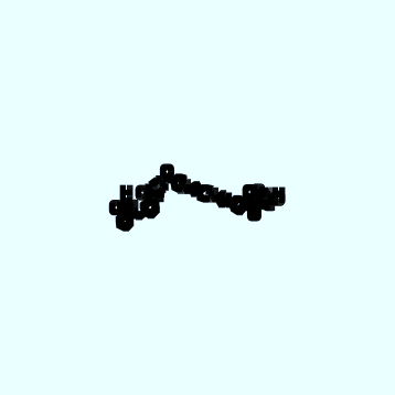 O=C1CCC(N2C(=O)c3ccc(N4CC(N5CCC6(CC5)CC(N5CCC(C(=O)N7CCN(C(=O)c8cc(Cc9n[nH]c(=O)c%10ccccc9%10)ccc8F)CC7)CC5)C6)C4)cc3C2=O)C(=O)N1